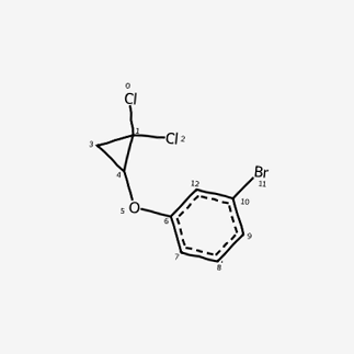 ClC1(Cl)CC1Oc1c[c]cc(Br)c1